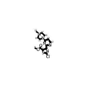 COC(=O)c1sc(Cl)nc1-c1nccc(N2CCN(C)CC2)n1